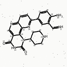 N=Cc1cc(-c2ccc3ncc4c(=O)[nH]c(=O)n(C5CCNCC5)c4c3n2)ccc1N